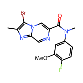 COc1cc(N(C)C(=O)c2cn3c(Br)c(C)nc3cn2)ccc1F